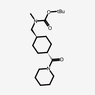 CN(C[C@H]1CC[C@H](C(=O)N2CCCCC2)CC1)C(=O)OC(C)(C)C